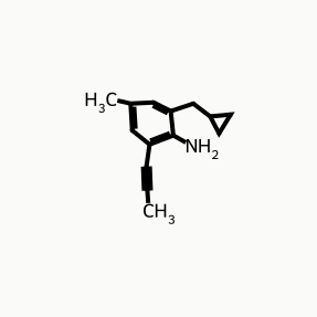 CC#Cc1cc(C)cc(CC2CC2)c1N